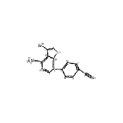 N#Cc1ccc(-c2cnc(N)c3c(Br)csc23)cc1